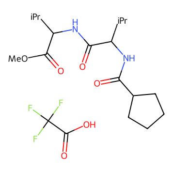 COC(=O)C(NC(=O)C(NC(=O)C1CCCC1)C(C)C)C(C)C.O=C(O)C(F)(F)F